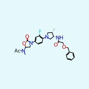 CC(=O)N(C)C1CN(c2ccc(N3C[C@H](C)[C@H](NC(=O)COCc4ccccc4)C3)c(F)c2)C(=O)O1